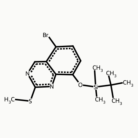 CSc1ncc2c(Br)ccc(O[Si](C)(C)C(C)(C)C)c2n1